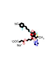 C[C@@H](S[C@H]1CO[C@H](C=CC=Cc2ccc(C#N)cc2F)OC1)[C@@](Cn1cncn1)(OC(=O)CCCOC(=O)CCC(=O)[O-])c1ccc(F)cc1F.[Na+]